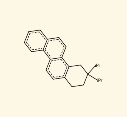 CC(C)C1(C(C)C)CCc2ccc3c(ccc4ccccc43)c2C1